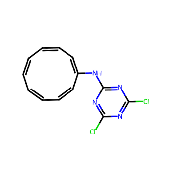 Clc1nc(Cl)nc(Nc2ccccccccc2)n1